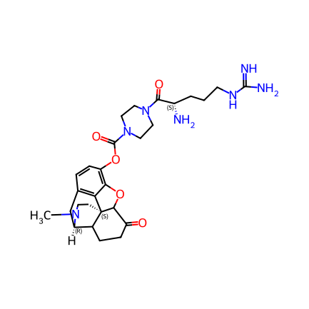 CN1CC[C@]23c4c5ccc(OC(=O)N6CCN(C(=O)[C@@H](N)CCCNC(=N)N)CC6)c4OC2C(=O)CCC3[C@H]1C5